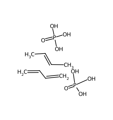 C=CC=C.CC=CC.O=P(O)(O)O.O=P(O)(O)O